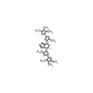 Cc1cc(-c2sc(C)c(C)c2C)sc1-c1ccc(-c2sc(-c3sc(C)c(C)c3C)cc2C)c2nsnc12